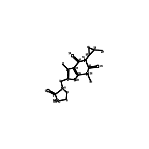 Cc1c(CN2CCNC2=O)sc2c1c(=O)n(C1CC1C)c(=O)n2C